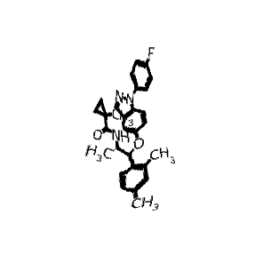 Cc1ccc([C@H](Oc2ccc3c(cnn3-c3ccc(F)cc3)c2)[C@H](C)NC(=O)C2(C)CC2)c(C)c1